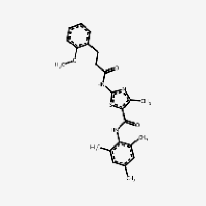 COc1ccccc1CCC(=O)Nc1nc(C)c(C(=O)Nc2c(C)cc(C)cc2C)s1